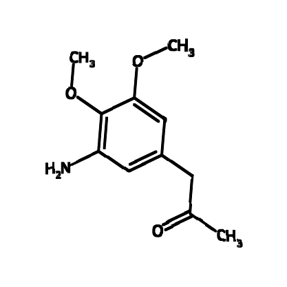 COc1cc(CC(C)=O)cc(N)c1OC